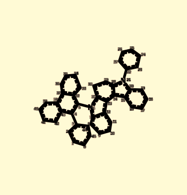 c1ccc(-c2c(-n3c4ccccc4c4c5c6ccccc6n(-c6ccccc6)c5ccc43)c3ccccc3c3ccccc23)cc1